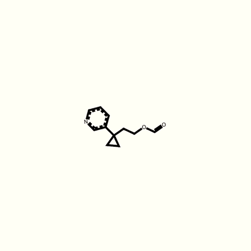 O=COCCC1(c2cccnc2)CC1